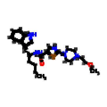 CCCCC(Cc1c[nH]c2ccccc12)NC(=O)c1cnc(N2CCN(CCOC)CC2)s1